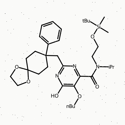 CCCCOc1c(O)nc(CC2(c3ccccc3)CCC3(CC2)OCCO3)nc1C(=O)N(CCO[Si](C)(C)C(C)(C)C)C(C)C